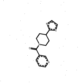 O=C(c1cccnc1)N1CCC(c2n[c]cs2)CC1